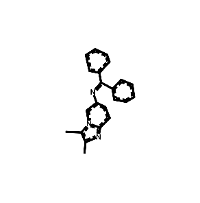 Cc1nc2ccc(N=C(c3ccccc3)c3ccccc3)cn2c1C